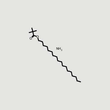 CCCCCCCCCCCCCCCCCCOC(=O)C(C)(C)C.N